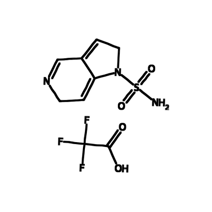 NS(=O)(=O)N1CC=C2C=NCC=C21.O=C(O)C(F)(F)F